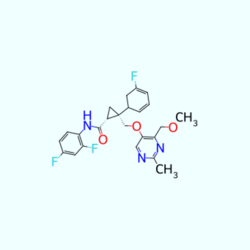 COCc1nc(C)ncc1OC[C@@]1(C2C=CC=C(F)C2)C[C@H]1C(=O)Nc1ccc(F)cc1F